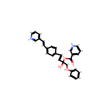 O=C(OC(O)(C=Cc1ccc(C=Cc2cccnc2)cc1)COc1ccccc1)c1cccnc1